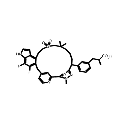 C[C@@H](Cc1cccc(C2CCCC(C)(C)CS(=O)(=O)CCc3c(c(F)c(F)c4[nH]ccc34)Cc3ccnc(c3)-c3nc2nn3C)c1)C(=O)O